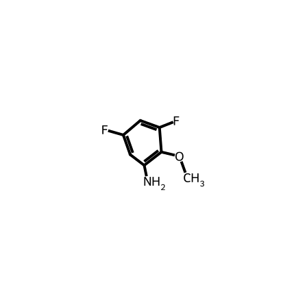 COc1c(N)cc(F)cc1F